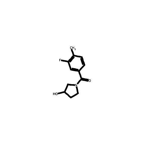 Cc1ccc(C(=O)N2CCC(O)C2)cc1F